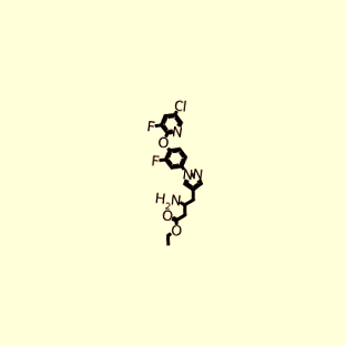 CCOC(=O)CC(N)Cc1cnn(-c2ccc(Oc3ncc(Cl)cc3F)c(F)c2)c1